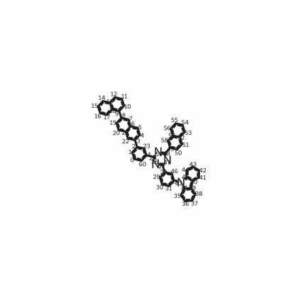 c1cc(-c2ccc3cc(-c4cccc5ccccc45)ccc3c2)cc(-c2nc(-c3cccc(-n4c5ccccc5c5ccccc54)c3)nc(-c3ccc4ccccc4c3)n2)c1